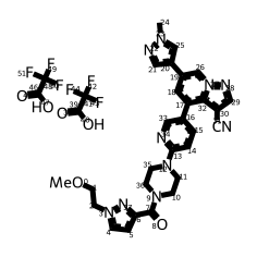 COCCn1ccc(C(=O)N2CCN(c3ccc(-c4cc(-c5cnn(C)c5)cn5ncc(C#N)c45)cn3)CC2)n1.O=C(O)C(F)(F)F.O=C(O)C(F)(F)F